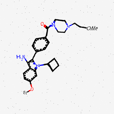 CCOc1ccc2c(N)c(-c3ccc(C(=O)N4CCN(CCOC)CC4)cc3)n(C3CCC3)c2c1